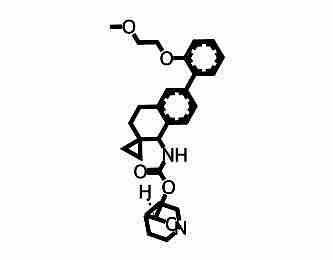 COCCOc1ccccc1-c1ccc2c(c1)CCC1(CC1)C2NC(=O)O[C@H]1CN2CCC1CC2